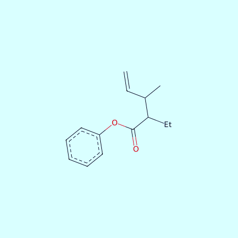 C=CC(C)C(CC)C(=O)Oc1ccccc1